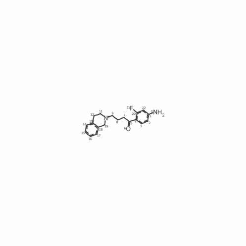 Nc1ccc(C(=O)CCCN2CCc3ccccc3C2)c(F)c1